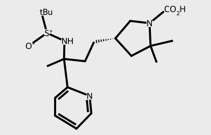 CC(CC[C@@H]1CN(C(=O)O)C(C)(C)C1)(N[S+]([O-])C(C)(C)C)c1ccccn1